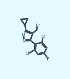 Fc1cc(Cl)c(-c2noc(C3CC3)c2CBr)c(Cl)c1